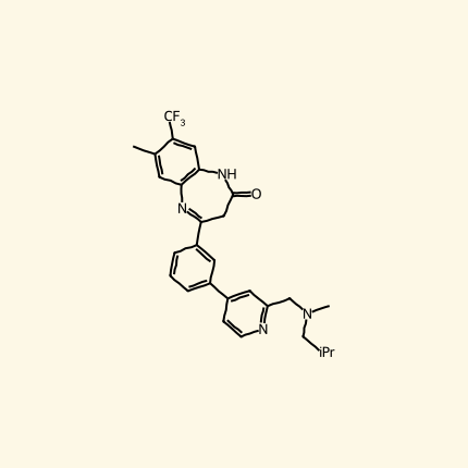 Cc1cc2c(cc1C(F)(F)F)NC(=O)CC(c1cccc(-c3ccnc(CN(C)CC(C)C)c3)c1)=N2